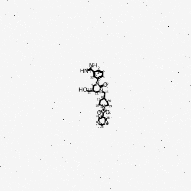 N=C(N)c1cccc(N2CC(CO)CN(CC3CCN(S(=O)(=O)c4cncnc4)CC3)C2=O)c1